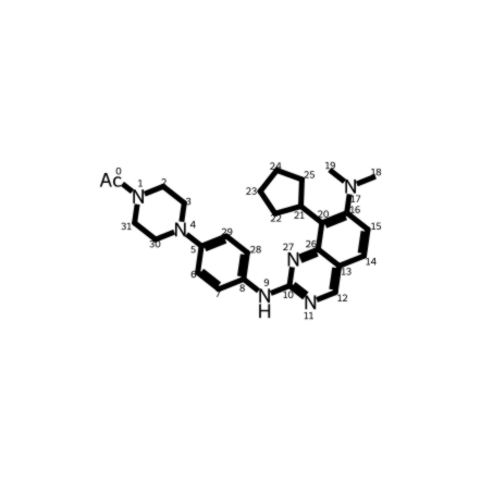 CC(=O)N1CCN(c2ccc(Nc3ncc4ccc(N(C)C)c(C5CCCC5)c4n3)cc2)CC1